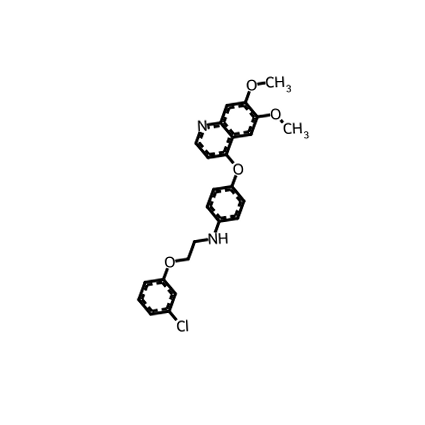 COc1cc2nccc(Oc3ccc(NCCOc4cccc(Cl)c4)cc3)c2cc1OC